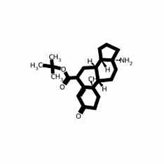 CC(C)(C)OC(=O)C1C[C@H]2[C@@H]3CCC[C@@]3(N)CC[C@@H]2[C@@]2(C)CCC(=O)C=C12